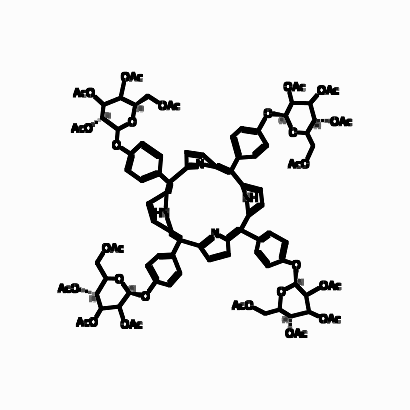 CC(=O)OCC1O[C@@H](Oc2ccc(-c3c4nc(c(-c5ccc(O[C@@H]6OC(COC(C)=O)[C@@H](OC(C)=O)C(OC(C)=O)C6OC(C)=O)cc5)c5ccc([nH]5)c(-c5ccc(O[C@@H]6OC(COC(C)=O)[C@@H](OC(C)=O)C(OC(C)=O)C6OC(C)=O)cc5)c5nc(c(-c6ccc(OC7O[C@H](COC(C)=O)C(OC(C)=O)C(OC(C)=O)[C@H]7OC(C)=O)cc6)c6ccc3[nH]6)C=C5)C=C4)cc2)C(OC(C)=O)C(OC(C)=O)[C@@H]1OC(C)=O